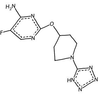 Nc1nc(OC2CCN(c3nnn[nH]3)CC2)ncc1F